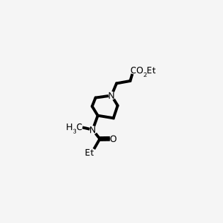 CCOC(=O)CCN1CCC(N(C)C(=O)CC)CC1